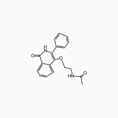 CC(=O)NCCOc1c(-c2ccccc2)[nH]c(=O)c2ccccc12